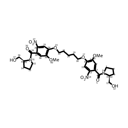 COc1cc(C(=O)N2CCC[C@H]2CO)c([N+](=O)[O-])cc1OCCCCCOc1cc([N+](=O)[O-])c(C(=O)N2CCC[C@H]2CO)cc1OC